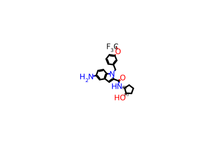 Nc1ccc2c(c1)cc(C(=O)N[C@@H]1CCC[C@H]1O)n2Cc1cccc(OC(F)(F)F)c1